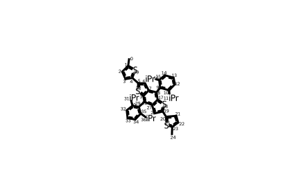 Cc1ccc(-c2cc3c(-c4c(C(C)C)cccc4C(C)C)c4sc(-c5ccc(C)s5)cc4c(-c4c(C(C)C)cccc4C(C)C)c3s2)s1